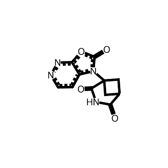 O=C1NC(=O)C2(n3c(=O)oc4nnccc43)CC1C2